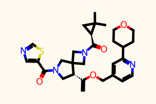 C=C(OCc1ccnc(C2CCOCC2)c1)[C@@H]1CN(C(=O)c2cncs2)CC12CN(C(=O)[C@H]1CC1(C)C)C2